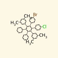 Cc1cc(C)cc(-c2c(-c3ccccc3)c(-c3ccccc3)c(-c3cc(C)cc(C)c3)c(-c3ccc(Br)cc3)c2-c2ccc(Cl)cc2)c1